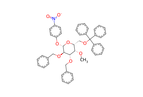 CO[C@@H]1[C@H](OCc2ccccc2)[C@@H](OCc2ccccc2)[C@H](Oc2ccc([N+](=O)[O-])cc2)O[C@@H]1COC(c1ccccc1)(c1ccccc1)c1ccccc1